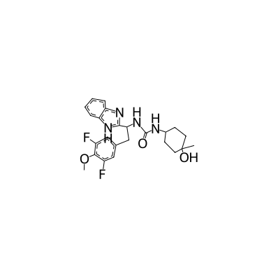 COc1c(F)cc(CC(NC(=O)NC2CCC(C)(O)CC2)c2nc3ccccc3[nH]2)cc1F